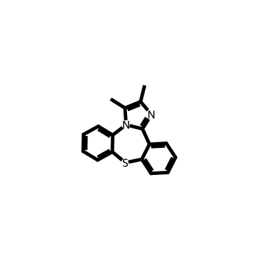 Cc1nc2n(c1C)-c1ccccc1Sc1ccccc1-2